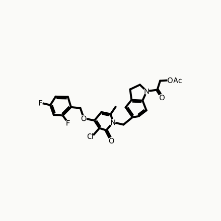 CC(=O)OCC(=O)N1CCc2cc(Cn3c(C)cc(OCc4ccc(F)cc4F)c(Cl)c3=O)ccc21